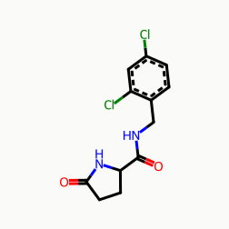 O=C1CCC(C(=O)NCc2ccc(Cl)cc2Cl)N1